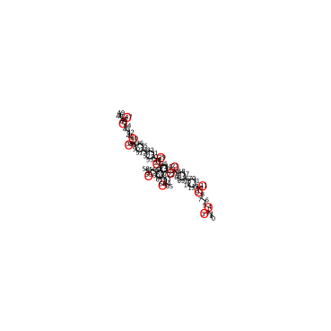 C=CC(=O)OCCCCOC(=O)C1CCC(C2CCC(C(=O)Oc3ccc(OC(=O)C4CCC(C5CCC(C(=O)OCCCCOC(=O)C=C)CC5)CC4)c4c(CC(C)=O)ccc(CC(C)=O)c34)CC2)CC1